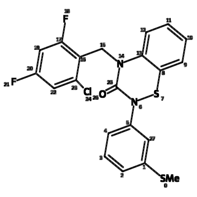 CSc1cccc(N2Sc3ccccc3N(Cc3c(F)cc(F)cc3Cl)C2=O)c1